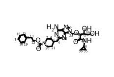 Nc1nc(CC2CCN(C(=O)OCCc3ccccc3)CC2)nc2c1ncn2CO[C@H](C(=O)NC1CC1)C(O)CO